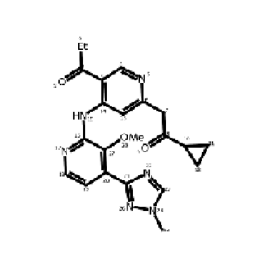 CCC(=O)c1cnc(CC(=O)C2CC2)cc1Nc1nccc(-c2ncn(C)n2)c1OC